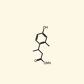 COC(=O)CC(C)c1ccc(O)cc1C